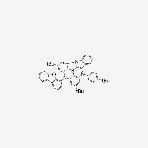 CC(C)(C)c1ccc(N2c3cc(C(C)(C)C)cc4c3B3c5c(cc(C(C)(C)C)cc5-n5c3c2c2ccccc25)N4c2cccc3c2oc2ccccc23)cc1